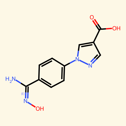 N/C(=N/O)c1ccc(-n2cc(C(=O)O)cn2)cc1